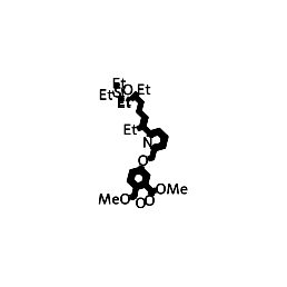 CC/C(=C\CCC(CC)(CC)O[Si](CC)(CC)CC)c1cccc(COc2ccc(C(=O)OC)c(C(=O)OC)c2)n1